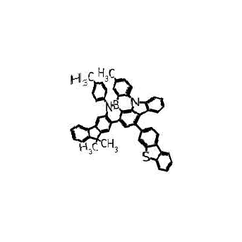 Cc1ccc(N2B3c4cc(C)ccc4-n4c5ccccc5c5c(-c6ccc7c(c6)sc6ccccc67)cc(c3c54)-c3cc4c(cc32)-c2ccccc2C4(C)C)cc1